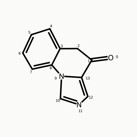 O=C1Cc2ccccc2-n2cncc21